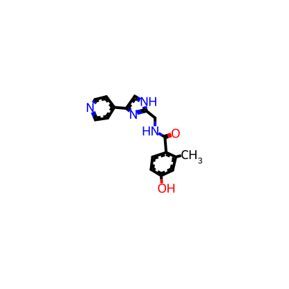 Cc1cc(O)ccc1C(=O)NCc1nc(-c2ccncc2)c[nH]1